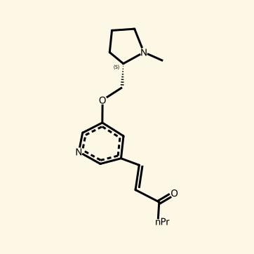 CCCC(=O)C=Cc1cncc(OC[C@@H]2CCCN2C)c1